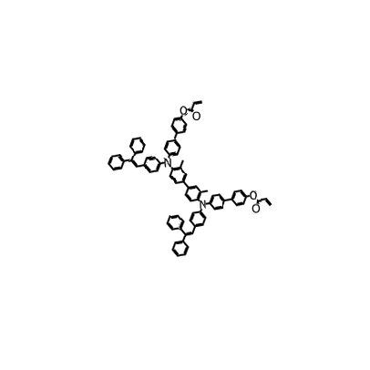 C=CC(=O)Oc1ccc(-c2ccc(N(c3ccc(C=C(c4ccccc4)c4ccccc4)cc3)c3ccc(-c4ccc(N(c5ccc(C=C(c6ccccc6)c6ccccc6)cc5)c5ccc(-c6ccc(OC(=O)C=C)cc6)cc5)c(C)c4)cc3C)cc2)cc1